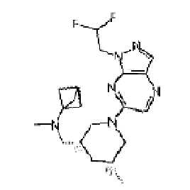 C[C@@H]1C[C@H](CN(C)C23CC(C2)C3)CN(c2cnc3cnn(CC(F)F)c3n2)C1